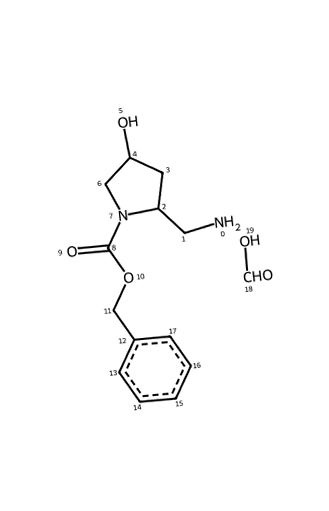 NCC1CC(O)CN1C(=O)OCc1ccccc1.O=CO